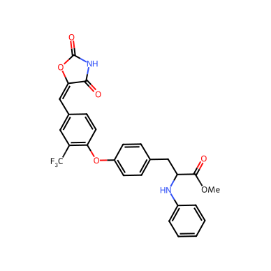 COC(=O)C(Cc1ccc(Oc2ccc(C=C3OC(=O)NC3=O)cc2C(F)(F)F)cc1)Nc1ccccc1